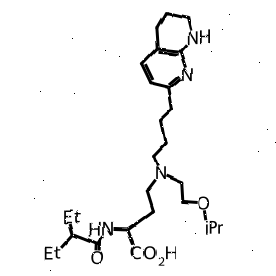 CCC(CC)C(=O)NC(CCN(CCCCc1ccc2c(n1)NCCC2)CCOC(C)C)C(=O)O